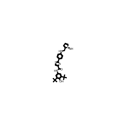 CC(C)(C)c1cc(NC(=O)c2csc(-c3ccc(NCC4=CC=CS4=N)cc3)n2)cc(C(C)(C)C)c1O